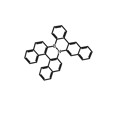 c1ccc2c(c1)B1c3ccc4ccccc4c3-c3c(ccc4ccccc34)N1c1cc3ccccc3cc1-2